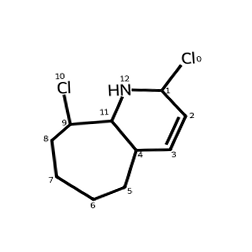 ClC1C=CC2CCCCC(Cl)C2N1